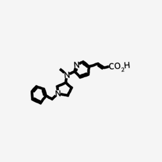 CN(c1ccc(C=CC(=O)O)cn1)C1CCN(Cc2ccccc2)C1